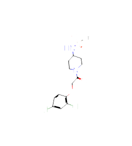 CCS(=O)(=O)NC1CCN(C(=O)COc2ccc(Cl)cc2Cl)CC1